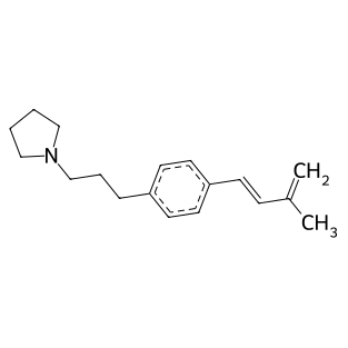 C=C(C)/C=C/c1ccc(CCCN2CCCC2)cc1